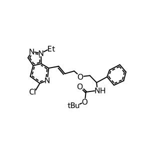 CCn1ncc2cc(Cl)nc(/C=C/COCC(NC(=O)OC(C)(C)C)c3ccccc3)c21